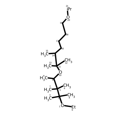 CCOC(C)(C)C(C)(C)C(C)OC(C)(C)C(C)CCCCOC(C)C